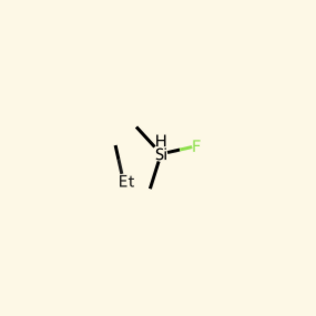 CCC.C[SiH](C)F